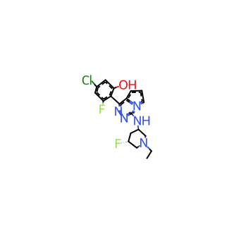 CCN1C[C@H](F)C[C@@H](Nc2nnc(-c3c(O)cc(Cl)cc3F)c3cccn23)C1